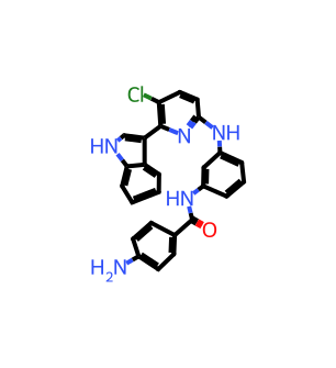 Nc1ccc(C(=O)Nc2cccc(Nc3ccc(Cl)c(-c4c[nH]c5ccccc45)n3)c2)cc1